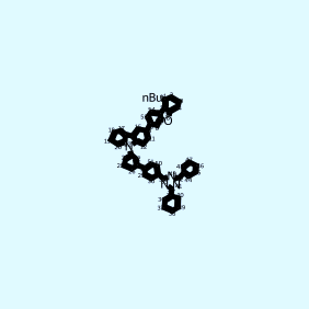 CCCCc1cccc2oc3cc(-c4ccc5c(c4)c4ccccc4n5-c4cccc(-c5ccc(-c6nc(-c7ccccc7)nc(-c7ccccc7)n6)cc5)c4)ccc3c12